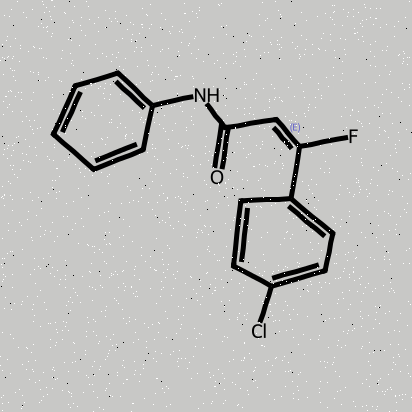 O=C(/C=C(/F)c1ccc(Cl)cc1)Nc1ccccc1